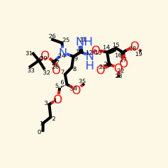 CCCCOC[C@H](CCC(C(=N)NOC(=CC(=O)OC)C(=O)OC)N(CC)C(=O)OC(C)(C)C)OC